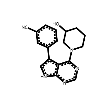 N#Cc1cccc(-c2c[nH]c3ncnc(N4CCCC(O)C4)c23)c1